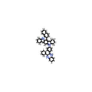 c1ccc(-c2nc3ccccc3nc2-c2ccc(-n3c4ccccc4c4c5c6ccc7ccccc7c6n6c7ccccc7c(cc43)c56)cc2)cc1